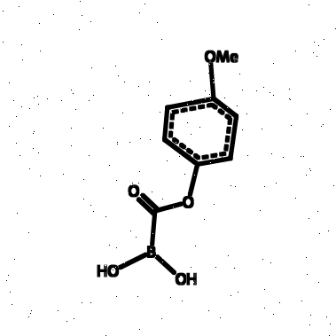 COc1ccc(OC(=O)B(O)O)cc1